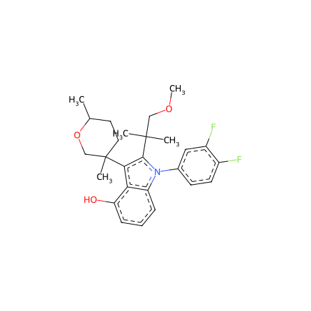 COCC(C)(C)c1c(C2(C)CCC(C)OC2)c2c(O)cccc2n1-c1ccc(F)c(F)c1